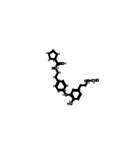 O=CNCCc1ccc(O)c(Oc2ccc(CCNC(=O)C3CCCC3)cc2)c1